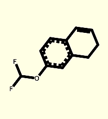 FC(F)Oc1ccc2c(c1)CCC=C2